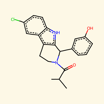 CC(C)C(=O)N1CCc2c([nH]c3ccc(Cl)cc23)C1c1cccc(O)c1